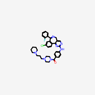 O=C(c1ccc(Nc2ncc3c(n2)-c2ccc(Cl)cc2C(c2ccccc2F)=NC3)cc1)N1CCN(CCCN2CCCCC2)CC1